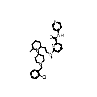 CC1CCCC(CCN(C)c2cccc(C(=O)Nc3ccncc3)n2)N1C1CCN(Cc2ccccc2Cl)CC1